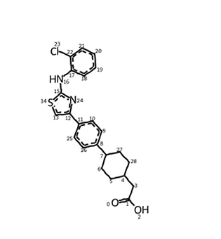 O=C(O)CC1CCC(c2ccc(-c3csc(Nc4ccccc4Cl)n3)cc2)CC1